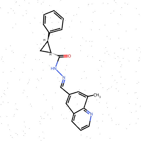 Cc1cc(C=NNC(=O)[C@@H]2C[C@H]2c2ccccc2)cc2cccnc12